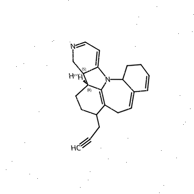 C#CCC1CC[C@H]2C3=C1CC=C1C=CCCC1N3C1=CC=NC[C@@H]12